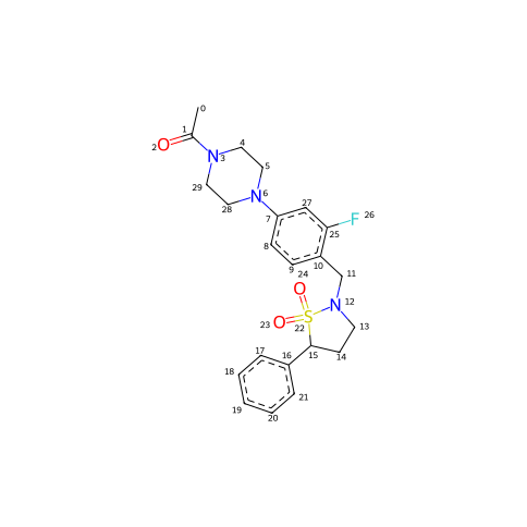 CC(=O)N1CCN(c2ccc(CN3CCC(c4ccccc4)S3(=O)=O)c(F)c2)CC1